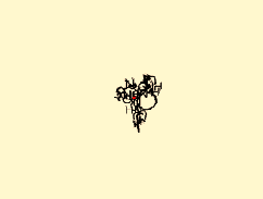 CC(C)n1c(O[C@@H]2C[C@H]3C(=O)N[C@]4(C(=O)NS(=O)(=O)C5(C)CC5)C[C@H]4/C=C\CCCCC[C@H](NC(=O)OC(C)(C)C)C(=O)N3C2)nc2c(-c3nccs3)cccc21